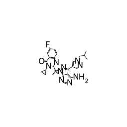 CC(C)Cn1cc(-c2nn([C@@H](C)c3nc4ccc(F)cc4c(=O)n3C3CC3)c3ncnc(N)c23)cn1